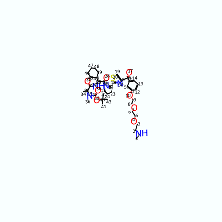 CNCCOCCOCCOc1cccc(C(=O)c2csc([C@@H]3CCCN3C(=O)[C@@H](NC(=O)[C@H](C)N(C)C(=O)OC(C)(C)C)C3CCCCC3)n2)c1